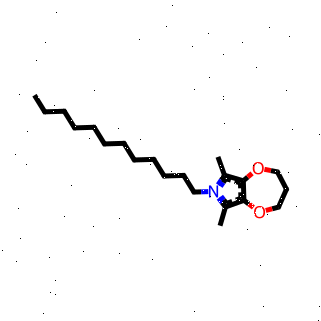 CCCCCCCCCCCCn1c(C)c2c(c1C)OCCCO2